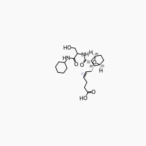 O=C(O)CC/C=C\C[C@@H]1[C@H](C(=O)NC(CO)C(=O)NC2CCCCC2)[C@H]2CC[C@@H]1O2